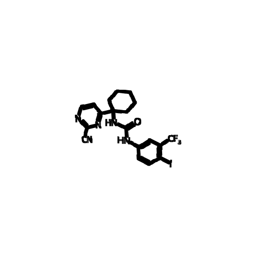 N#Cc1nccc(C2(NC(=O)Nc3ccc(I)c(C(F)(F)F)c3)CCCCC2)n1